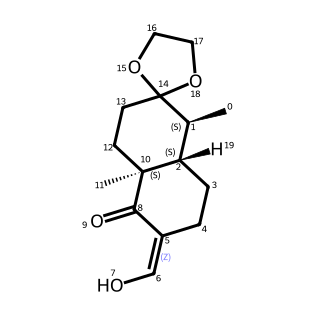 C[C@H]1[C@@H]2CC/C(=C/O)C(=O)[C@@]2(C)CCC12OCCO2